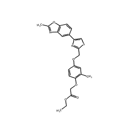 CCOC(=O)COc1ccc(OCc2nc(-c3ccc4oc(C)nc4c3)cs2)cc1C